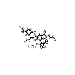 CCCCc1ncc(C=C2C(=O)N(CCCC)C(=O)N2Cc2c(C)noc2C)n1Cc1ccc(C(=O)OC)cc1.Cl